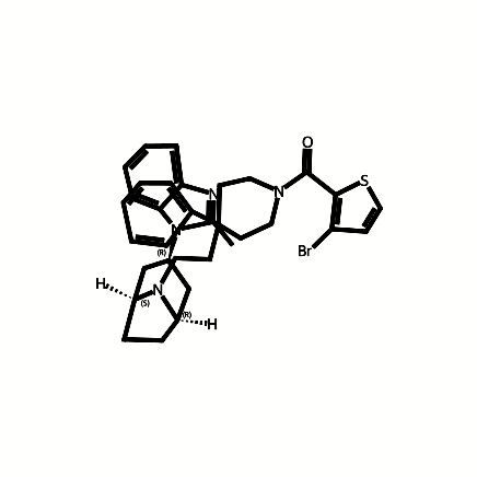 Cc1nc2ccccc2n1[C@H]1C[C@H]2CC[C@@H](C1)N2CCC1(c2ccccc2)CCN(C(=O)c2sccc2Br)CC1